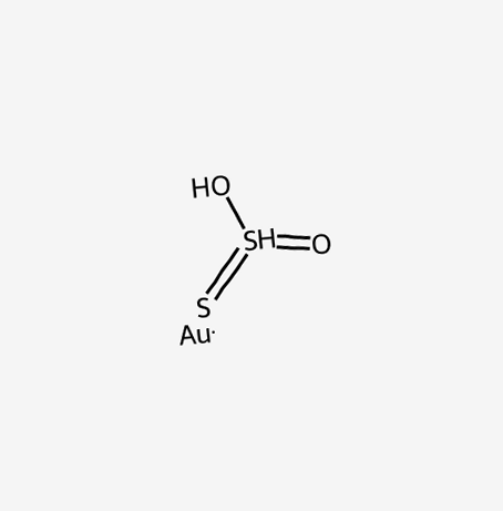 O=[SH](O)=S.[Au]